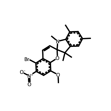 COc1cc([N+](=O)[O-])c(Br)c2c1OC1(C=C2)N(C)c2c(C)cc(C)cc2C1(C)C